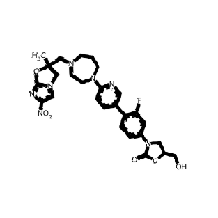 CC1(CN2CCCN(c3ccc(-c4ccc(N5CC(CO)OC5=O)cc4F)cn3)CC2)Cn2cc([N+](=O)[O-])nc2O1